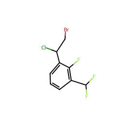 Fc1c(C(F)F)cccc1C(Cl)CBr